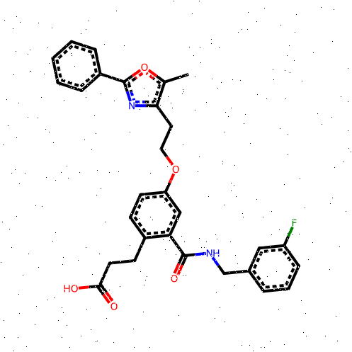 Cc1oc(-c2ccccc2)nc1CCOc1ccc(CCC(=O)O)c(C(=O)NCc2cccc(F)c2)c1